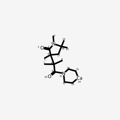 CN1C(=O)C(C)(C(C)(C)C(=O)N2C[CH2][Ca][CH2]C2)CC1(C)C